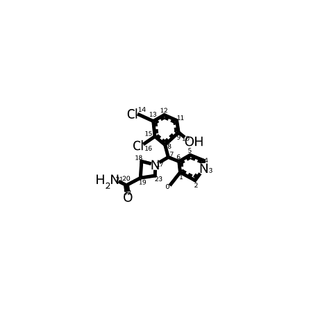 Cc1cnccc1C(c1c(O)ccc(Cl)c1Cl)N1CC(C(N)=O)C1